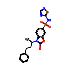 CC(CCc1ccccc1)n1c(=O)oc2cc(S(=O)(=O)Nc3ncns3)ccc21